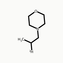 [2H]C(C)CN1CCOCC1